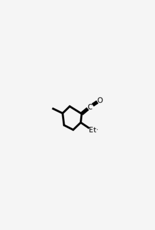 C[CH]C1CCC(C)CC1=C=O